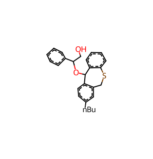 CCCCc1ccc2c(c1)CSc1ccccc1C2OC(CO)c1ccccc1